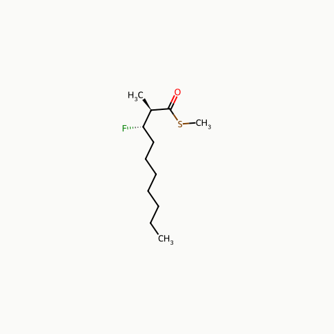 CCCCCCC[C@H](F)[C@@H](C)C(=O)SC